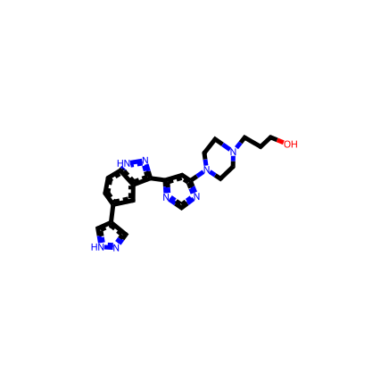 OCCCN1CCN(c2cc(-c3n[nH]c4ccc(-c5cn[nH]c5)cc34)ncn2)CC1